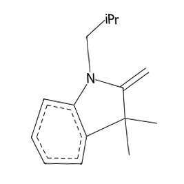 C=C1N(CC(C)C)c2ccccc2C1(C)C